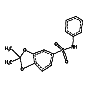 CC1(C)Oc2ccc(S(=O)(=O)Nc3ccccc3)cc2O1